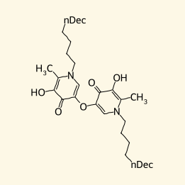 CCCCCCCCCCCCCCn1cc(Oc2cn(CCCCCCCCCCCCCC)c(C)c(O)c2=O)c(=O)c(O)c1C